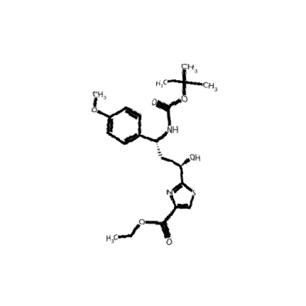 CCOC(=O)c1csc([C@H](O)C[C@@H](NC(=O)OC(C)(C)C)c2ccc(OC)cc2)n1